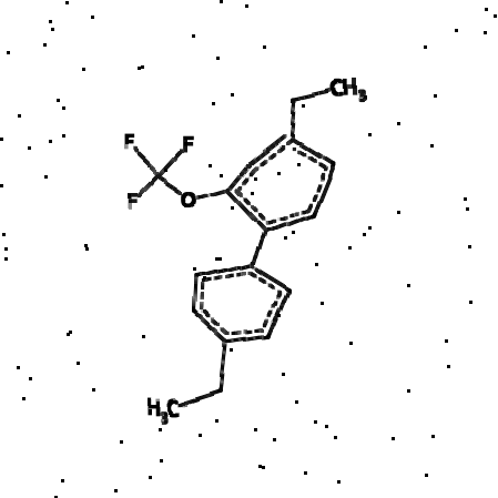 CCc1ccc(-c2ccc(CC)cc2OC(F)(F)F)cc1